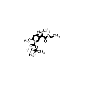 CCOC(=O)c1c2c(nn1C)C[C@@H](C)N(C(=O)OC(C)(C)C)C2